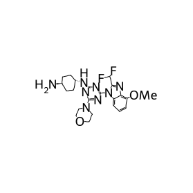 COc1cccc2c1nc(C(F)F)n2-c1nc(N[C@H]2CC[C@H](N)CC2)nc(N2CCOCC2)n1